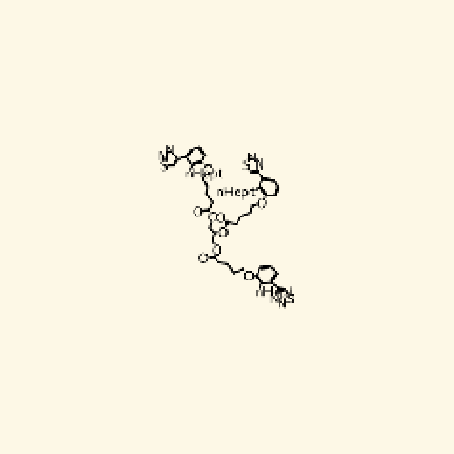 CCCCCCCc1c(OCCCCC(=O)OCC(COC(=O)CCCCOc2cccc(-c3csnn3)c2CCCCCCC)OC(=O)CCCCOc2cccc(-c3csnn3)c2CCCCCCC)cccc1-c1csnn1